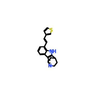 C(=C\c1cccc2c3c([nH]c12)C1CCN(CC1)C3)/c1ccsc1